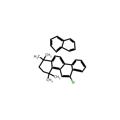 CC1(C)CCC(C)(C)c2c1ccc1c2cc(Br)c2ccccc21.c1ccc2ccccc2c1